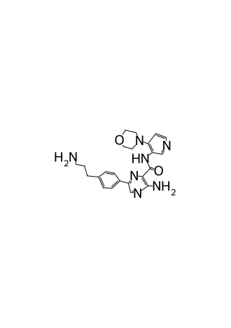 NCCCc1ccc(-c2cnc(N)c(C(=O)Nc3cnccc3N3CCOCC3)n2)cc1